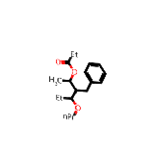 CCCOC(CC)C(Cc1ccccc1)C(C)OC(=O)CC